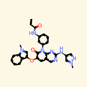 C=CC(=O)Nc1cccc(-n2c(=O)c(Oc3cn(C)c4ccccc34)cc3cnc(Nc4cnn(C)c4)nc32)c1